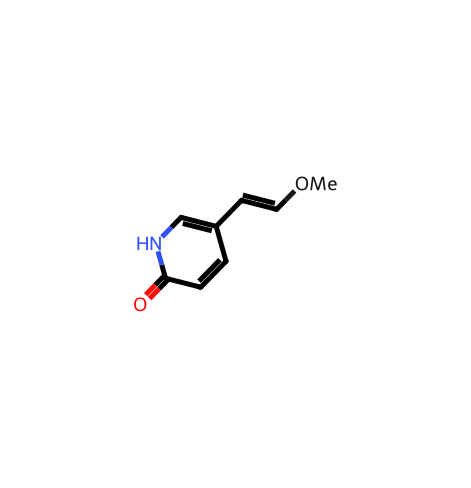 CO/C=C/c1ccc(=O)[nH]c1